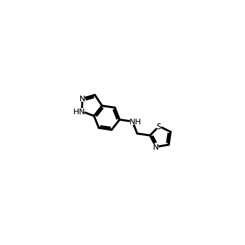 c1csc(CNc2ccc3[nH]ncc3c2)n1